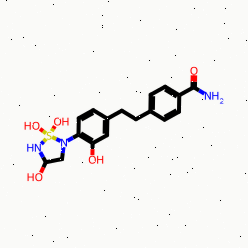 NC(=O)c1ccc(CCc2ccc(N3CC(O)NS3(O)O)c(O)c2)cc1